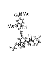 CNC(=O)c1ccc(NCC#Cc2cc(C(=O)NC3CCCN(C)C3)c3ncn(CC(F)(F)F)c3c2)c(OC)c1